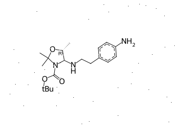 C[C@H]1OC(C)(C)N(C(=O)OC(C)(C)C)C1NCCc1ccc(N)cc1